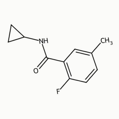 Cc1ccc(F)c(C(=O)NC2CC2)c1